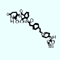 CC(C)(C)OC(=O)NC1CCN(CCc2ccc(CC(=O)Nc3cccc4c3C(=O)N(C3CCC(=O)NC3=O)C4=O)cc2)CC1